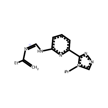 C=C(CC)/N=C\Nc1cccc(-c2nncn2C(C)C)n1